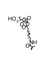 C=C(C)C(=O)NCCSSCCC(=O)ON1C(=O)CC(S(=O)(=O)O)C1=O